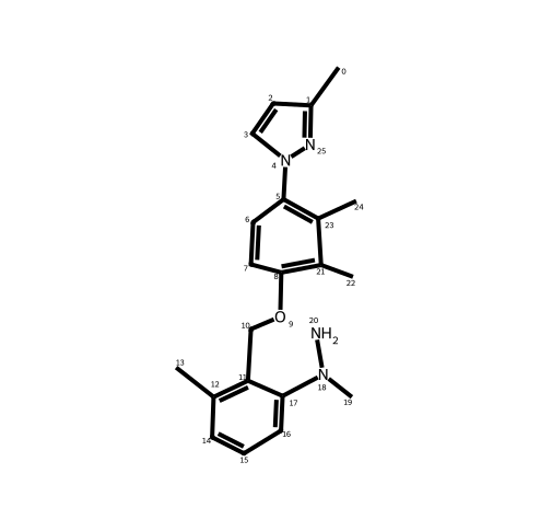 Cc1ccn(-c2ccc(OCc3c(C)cccc3N(C)N)c(C)c2C)n1